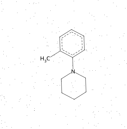 Cc1ccc[c]c1N1CCCCC1